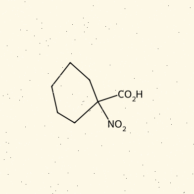 O=C(O)C1([N+](=O)[O-])CCCCC1